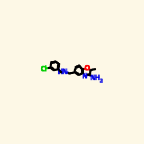 CC1Oc2ccc(CNCc3cccc(Cl)c3)cc2N=C1N